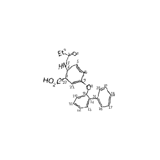 CCC(=O)Nc1ccc(Oc2ccccc2-c2ccccc2)cc1C(=O)O